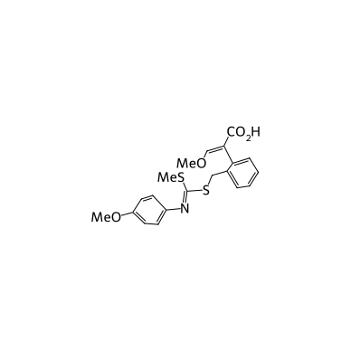 CO/C=C(/C(=O)O)c1ccccc1CS/C(=N/c1ccc(OC)cc1)SC